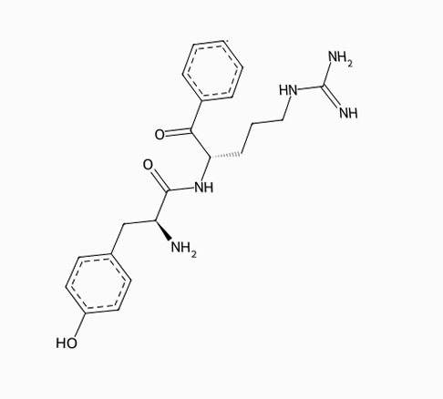 N=C(N)NCCC[C@H](NC(=O)[C@@H](N)Cc1ccc(O)cc1)C(=O)c1cc[c]cc1